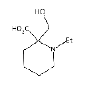 CCN1CCCCC1(CO)C(=O)O